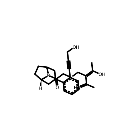 CC(=N)/C(CSCC(=O)N1C2CC[C@H]1CC(c1ccccc1C#CCO)C2)=C(/C)O